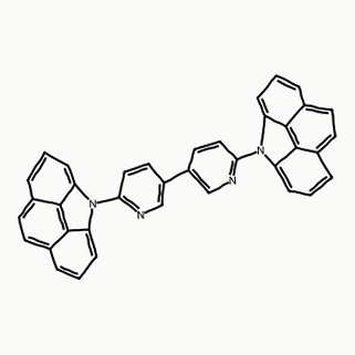 c1cc2ccc3cccc4c3c2c(c1)n4-c1ccc(-c2ccc(-n3c4cccc5ccc6cccc3c6c54)nc2)cn1